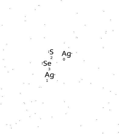 [Ag].[Ag].[S].[Se]